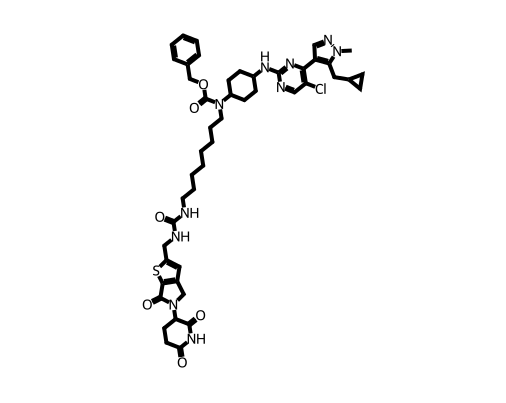 Cn1ncc(-c2nc(NC3CCC(N(CCCCCCCCNC(=O)NCc4cc5c(s4)C(=O)N(C4CCC(=O)NC4=O)C5)C(=O)OCc4ccccc4)CC3)ncc2Cl)c1CC1CC1